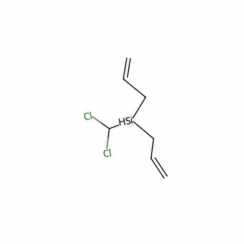 C=CC[SiH](CC=C)C(Cl)Cl